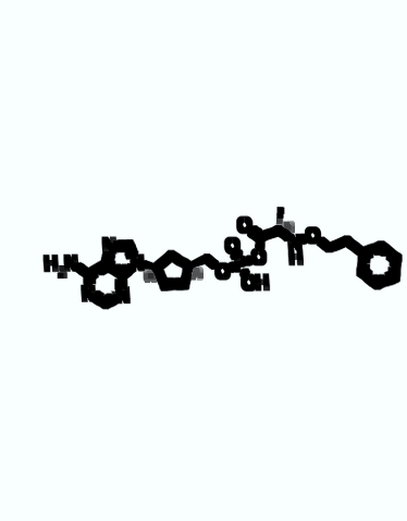 C[C@H](NOCCc1ccccc1)C(=O)OP(=O)(O)OC[C@H]1C=C[C@@H](n2cnc3c(N)ncnc32)C1